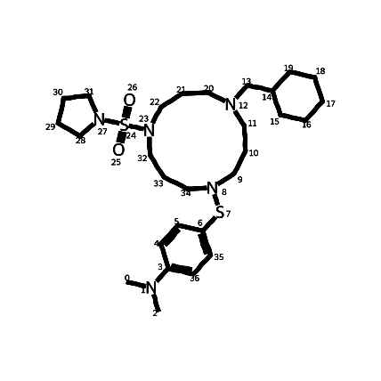 CN(C)c1ccc(SN2CCCN(CC3CCCCC3)CCCN(S(=O)(=O)N3CCCC3)CCC2)cc1